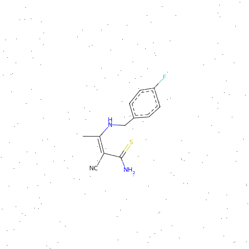 CC(NCc1ccc(F)cc1)=C(C#N)C(N)=S